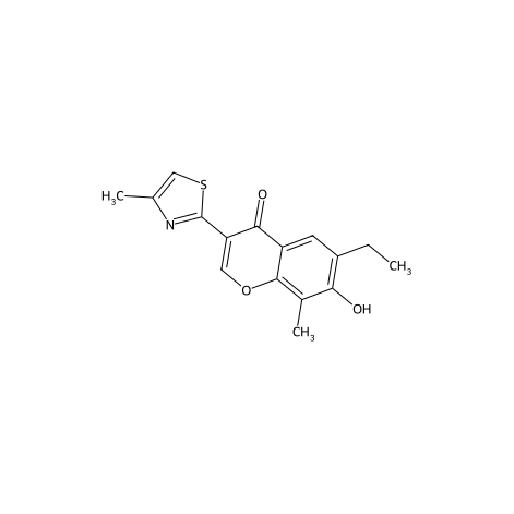 CCc1cc2c(=O)c(-c3nc(C)cs3)coc2c(C)c1O